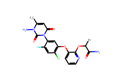 CCC(Oc1ncccc1Oc1cc(-n2c(=O)cc(C(F)(F)F)n(N)c2=O)c(F)cc1Cl)C(N)=O